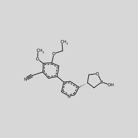 CCOc1cc(-c2cncc([C@@H]3COB(O)C3)c2)cc(C#N)c1OC